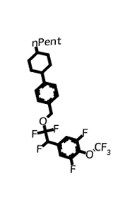 CCCCCC1CCC(c2ccc(COC(F)(F)C(F)c3cc(F)c(OC(F)(F)F)c(F)c3)cc2)CC1